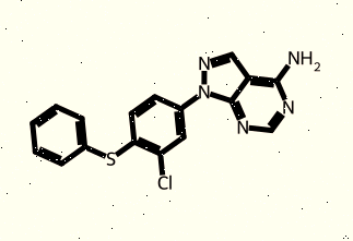 Nc1ncnc2c1cnn2-c1ccc(Sc2ccccc2)c(Cl)c1